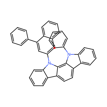 c1ccc(-c2cc(-n3c4ccccc4c4ccc5c6ccccc6n(-c6ccccc6)c5c43)cc3ccccc23)cc1